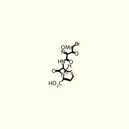 CON=C(C(=O)CBr)C(=O)NC1C(=O)N2C(C(=O)O)=CCS[C@@H]12